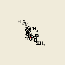 COc1ccc(C(Nc2nc(Cl)c3ncn(C(OCCCOC(C)=O)OC(C)=O)c3n2)(c2ccccc2)c2ccccc2)cc1